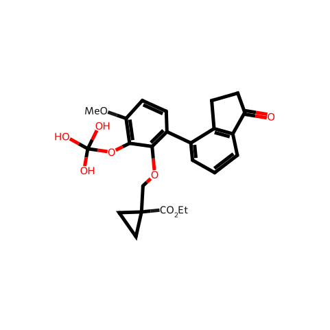 CCOC(=O)C1(COc2c(-c3cccc4c3CCC4=O)ccc(OC)c2OC(O)(O)O)CC1